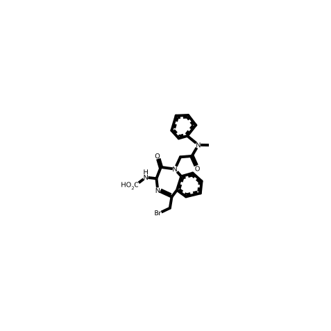 CN(C(=O)CN1C(=O)C(NC(=O)O)N=C(CBr)c2ccccc21)c1ccccc1